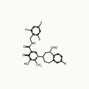 Cc1c(O)c(=O)c(C(=O)NCc2c(F)cc(F)cc2F)cn1C1CCc2cc(F)ccc2N(C=O)C1